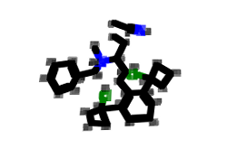 CC#N.CCC(CCc1c(C2(Cl)CCC2)cccc1C1(Cl)CCC1)N(C)Cc1ccccc1